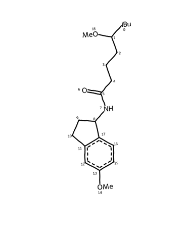 CCC(C)C(CCCC(=O)NC1CCc2cc(OC)ccc21)OC